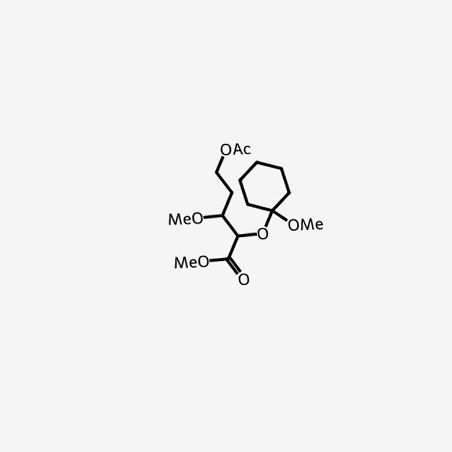 COC(=O)C(OC1(OC)CCCCC1)C(CCOC(C)=O)OC